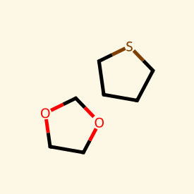 C1CCSC1.C1COCO1